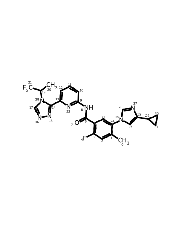 Cc1cc(F)c(C(=O)Nc2cccc(-c3nncn3C(C)C(F)(F)F)n2)cc1-n1cnc(C2CC2)c1